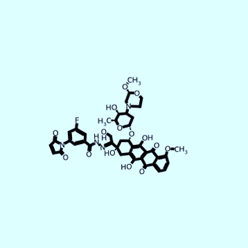 COc1cccc2c1C(=O)c1c(O)c3c(c(O)c1C2=O)C[C@@](O)(/C(CO)=N/NC(=O)c1cc(F)cc(N2C(=O)C=CC2=O)c1)C[C@@H]3O[C@H]1CC(N2CCO[C@H](OC)C2)[C@H](O)[C@H](C)O1